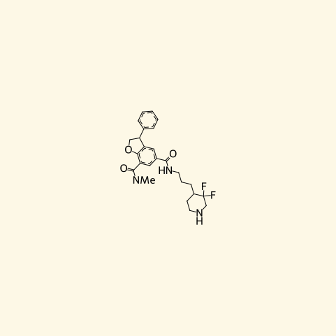 CNC(=O)c1cc(C(=O)NCCCC2CCNCC2(F)F)cc2c1OCC2c1ccccc1